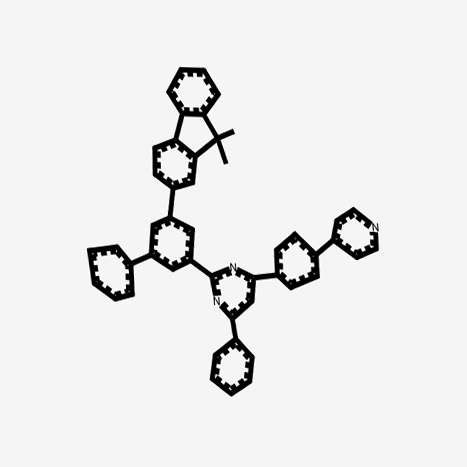 CC1(C)c2ccccc2-c2ccc(-c3cc(-c4ccccc4)cc(-c4nc(-c5ccccc5)cc(-c5ccc(-c6ccncc6)cc5)n4)c3)cc21